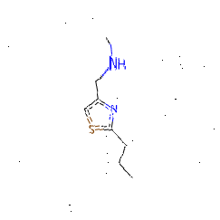 CCCc1nc(CNC)cs1